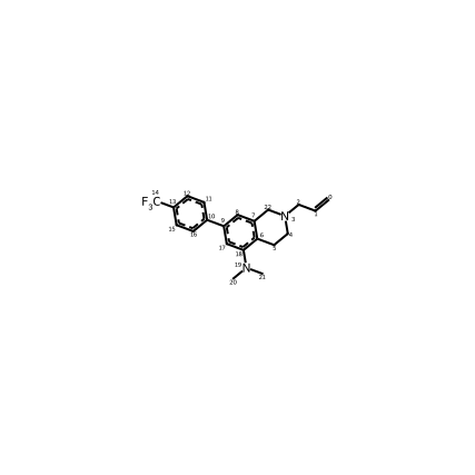 C=CCN1CCc2c(cc(-c3ccc(C(F)(F)F)cc3)cc2N(C)C)C1